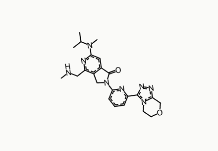 CNCc1nc(N(C)C(C)C)cc2c1CN(c1cccc(-c3nnc4n3CCOC4)n1)C2=O